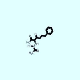 CC(=O)N(O)NC(C(=O)O)C(=O)CCCc1ccccc1